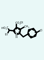 CCOC(=O)c1c(C(CC)C(=O)O)[nH]c(Cc2ccc(Cl)cc2)c1C